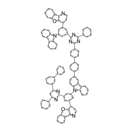 c1ccc(-c2cccc(-c3cc(-c4ccccc4)nc(-c4cc(-c5ccnc6c5oc5ccccc56)cc(-n5c6ccccc6c6cc(-c7ccc(-c8ccc(-c9nc(-c%10ccccc%10)nc(-c%10cc(-c%11ccnc%12c%11oc%11ccccc%11%12)cc(-n%11c%12ccccc%12c%12ccccc%12%11)c%10)n9)cc8)cc7)ccc65)c4)n3)c2)cc1